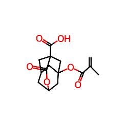 C=C(C)C(=O)OC12CC3CC(C1)OC(=O)C(C(=O)O)(C3)C2